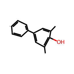 Cc1cc(-c2cc[c]cc2)cc(C)c1O